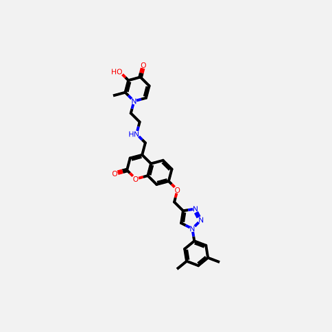 Cc1cc(C)cc(-n2cc(COc3ccc4c(CNCCn5ccc(=O)c(O)c5C)cc(=O)oc4c3)nn2)c1